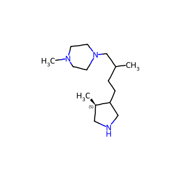 CC(CCC1CNC[C@H]1C)CN1CCN(C)CC1